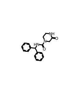 O=C1CN(C(=O)NC(c2ccccc2)c2ccccc2)CCN1